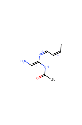 C\C=C/C=N\C(=C/N)NC(=O)C(C)(C)C